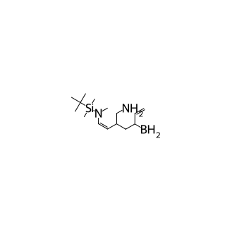 BC(C=C)CC(/C=C\N(C)[Si](C)(C)C(C)(C)C)CN